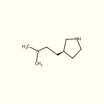 CN(C)CC[C@@H]1CCNC1